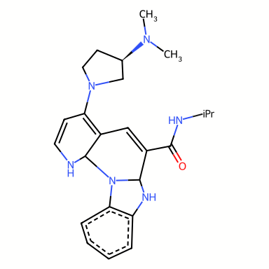 CC(C)NC(=O)C1=CC2=C(N3CC[C@@H](N(C)C)C3)C=CNC2N2c3ccccc3NC12